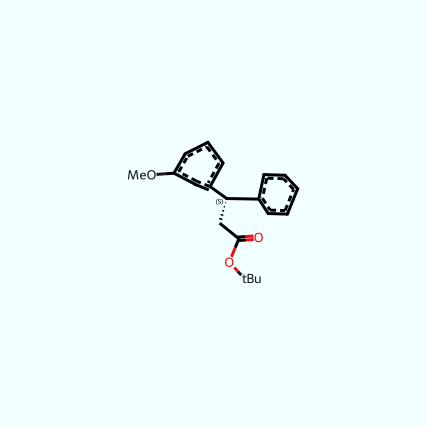 COc1cccc([C@@H](CC(=O)OC(C)(C)C)c2ccccc2)c1